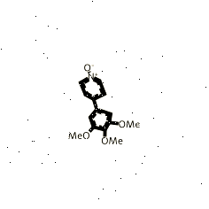 COc1cc(-c2cc[n+]([O-])cc2)cc(OC)c1OC